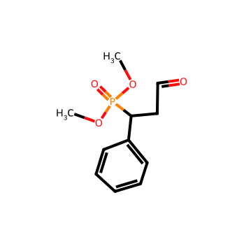 COP(=O)(OC)C(CC=O)c1ccccc1